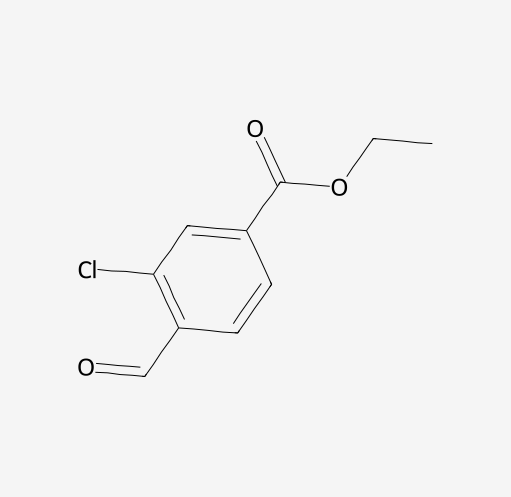 CCOC(=O)c1ccc(C=O)c(Cl)c1